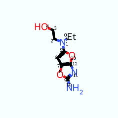 CCN(CCO)c1cc2oc(N)nc2o1